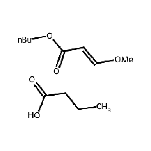 CCCC(=O)O.CCCCOC(=O)C=COC